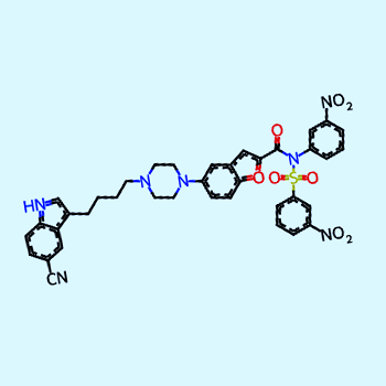 N#Cc1ccc2[nH]cc(CCCCN3CCN(c4ccc5oc(C(=O)N(c6cccc([N+](=O)[O-])c6)S(=O)(=O)c6cccc([N+](=O)[O-])c6)cc5c4)CC3)c2c1